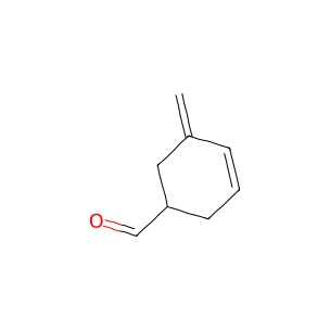 C=C1C=CCC(C=O)C1